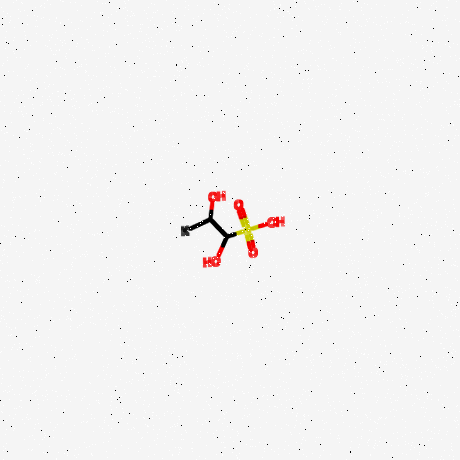 O=S(=O)(O)C(O)[CH](O)[K]